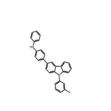 Fc1cccc(-n2c3ccccc3c3cc(-c4ccc(Nc5ccccc5)cc4)ccc32)c1